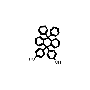 Oc1ccc(C2(c3ccc(O)cc3)C3=CC=CCC3C(c3ccccc3)(c3ccccc3)c3ccccc32)cc1